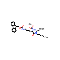 CCCCCCCCCCCCCCN(CCCCCCCCCCCC)C(=O)C(CCCCNC(=O)OCC1c2ccccc2-c2ccccc21)NC(=O)OC(C)(C)C